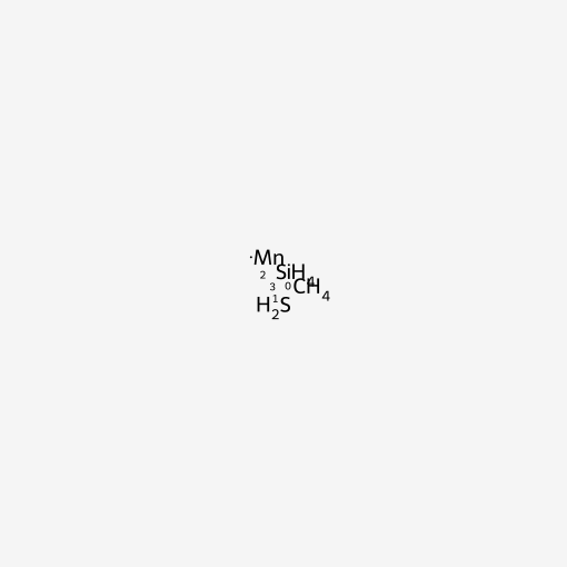 C.S.[Mn].[SiH4]